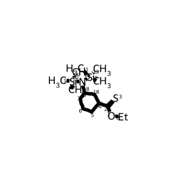 CCOC(=S)C1CCCC(N([Si](C)(C)C)[Si](C)(C)C)C1